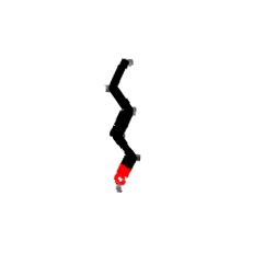 CC/C=C/C=O